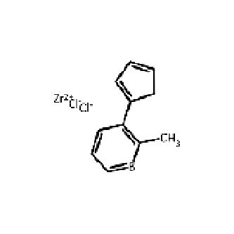 Cc1bcccc1C1=CC=CC1.[Cl-].[Cl-].[Zr+2]